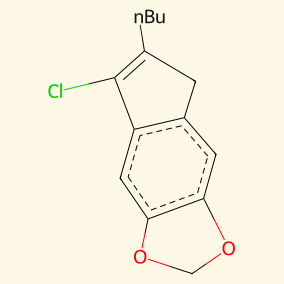 CCCCC1=C(Cl)c2cc3c(cc2C1)OCO3